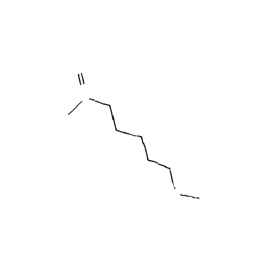 C=[PH](C)CCCCCPC